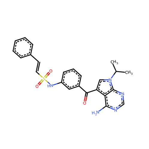 CC(C)n1cc(C(=O)c2cccc(NS(=O)(=O)C=Cc3ccccc3)c2)c2c(N)ncnc21